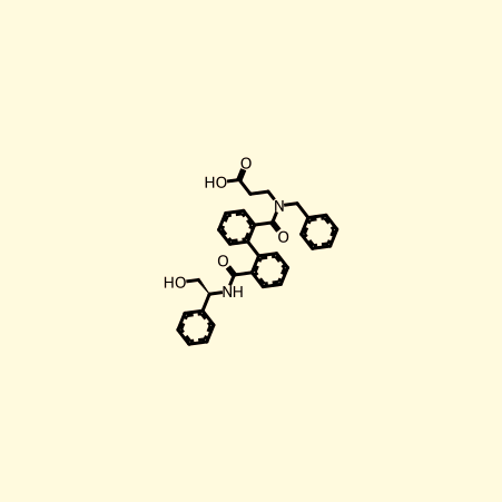 O=C(O)CCN(Cc1ccccc1)C(=O)c1ccccc1-c1ccccc1C(=O)N[C@H](CO)c1ccccc1